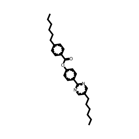 CCCCCCc1ccc(C(=O)Oc2ccc(-c3ncc(CCCCCC)cn3)cc2)cc1